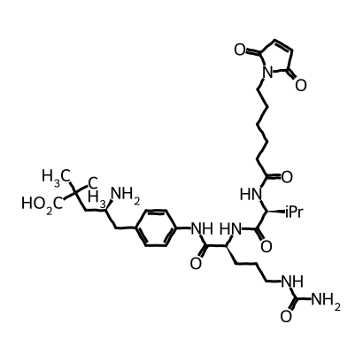 CC(C)[C@H](NC(=O)CCCCCN1C(=O)C=CC1=O)C(=O)N[C@@H](CCCNC(N)=O)C(=O)Nc1ccc(C[C@H](N)CC(C)(C)C(=O)O)cc1